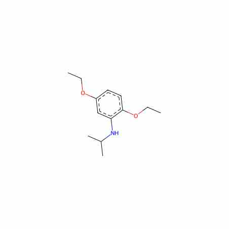 CCOc1ccc(OCC)c(NC(C)C)c1